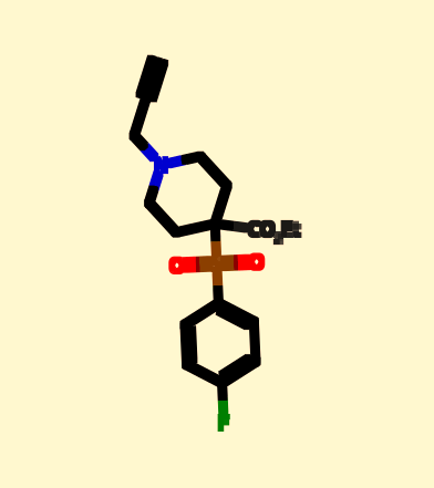 C#CCN1CCC(C(=O)OCC)(S(=O)(=O)c2ccc(F)cc2)CC1